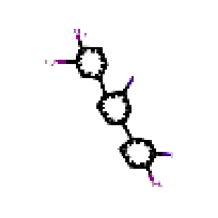 Pc1ccc(-c2ccc(-c3ccc(P)c(I)c3)cc2I)cc1P